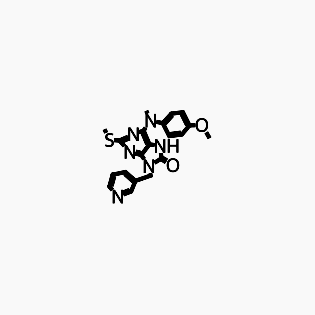 COc1ccc(N(C)c2nc(SC)nc3c2[nH]c(=O)n3Cc2cccnc2)cc1